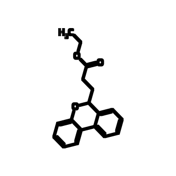 CCOC(=O)CCC1Oc2ccccc2-c2ccccc21